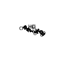 Cc1c(Cl)cccc1N1CCN(CCCNC(=O)c2nc(C)n(-c3ccc4c(c3)OCCO4)c2C)CC1.Cl.Cl